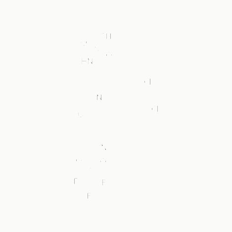 CS(=O)(=O)NCCN1C(=O)C2(CCN(OC(=O)C(F)(F)F)CC2)c2cc(Cl)c(Cl)cc21